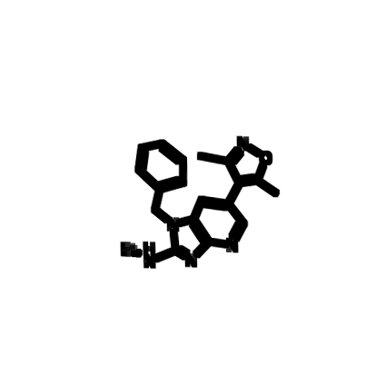 CCNc1nc2ncc(-c3c(C)noc3C)cc2n1Cc1ccccc1